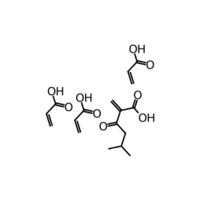 C=C(C(=O)O)C(=O)CC(C)C.C=CC(=O)O.C=CC(=O)O.C=CC(=O)O